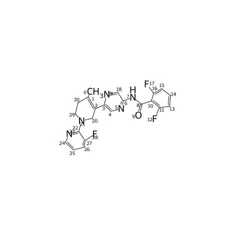 CC1=C(c2cnc(NC(=O)c3c(F)cccc3F)cn2)CN(c2ncccc2F)CC1